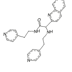 O=C(NCCc1ccncc1)C(NCCc1ccncc1)c1ccc2ccccc2n1